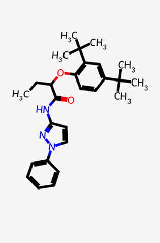 CCC(Oc1ccc(C(C)(C)C)cc1C(C)(C)C)C(=O)Nc1ccn(-c2ccccc2)n1